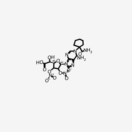 NC(=O)C1(N2C=Nc3c(ncn3[C@@H]3O[C@H](C(O)C(=O)O)C(O[N+](=O)[O-])C3O[N+](=O)[O-])C2N)CCCCC1